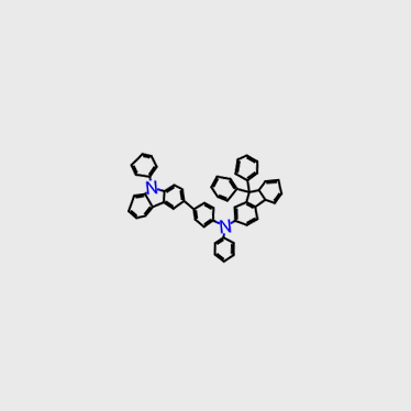 C1=CC2c3ccc(N(c4ccccc4)c4ccc(-c5ccc6c(c5)c5ccccc5n6-c5ccccc5)cc4)cc3C(c3ccccc3)(c3ccccc3)C2C=C1